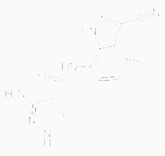 Cc1ccc(NS(=O)(=O)c2c[nH]nc2N)c2[nH]cc(C#N)c12